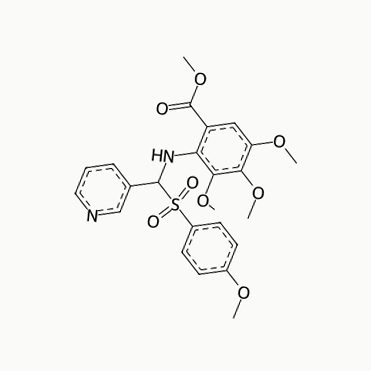 COC(=O)c1cc(OC)c(OC)c(OC)c1NC(c1cccnc1)S(=O)(=O)c1ccc(OC)cc1